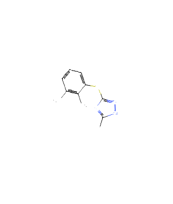 N#Cc1cccc(Sc2n[nH]c(C(F)(F)F)n2)c1C#N